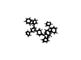 c1ccc(-c2nc(-c3ccc(-n4c5ccccc5c5cc6c7ccccc7n(-c7ccccc7)c6cc54)cc3)nc(-c3cccc4c3sc3ccccc34)n2)cc1